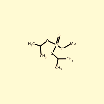 CC(C)OP(=S)([O][Mo])SC(C)C